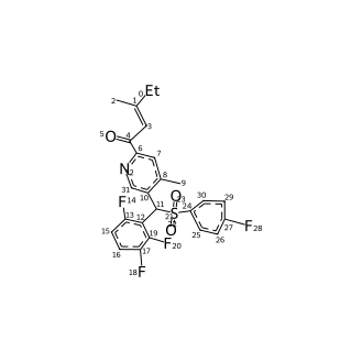 CC/C(C)=C/C(=O)c1cc(C)c(C(c2c(F)ccc(F)c2F)S(=O)(=O)c2ccc(F)cc2)cn1